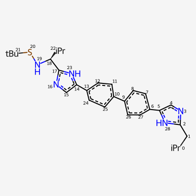 CC(C)Cc1ncc(-c2ccc(-c3ccc(-c4cnc([C@@H](NSC(C)(C)C)C(C)C)[nH]4)cc3)cc2)[nH]1